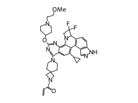 C=CC(=O)N1CC2(CCN(c3nc(OC4CCN(CCOC)CC4)nc4c5c(c(C6CC6)cc34)-c3c(ccc4[nH]ncc34)C3N5CC3(F)F)CC2)C1